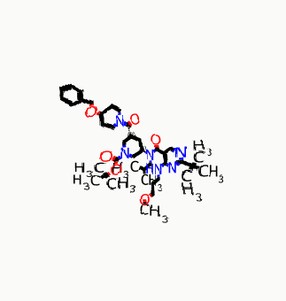 COCCCNc1nc(C(C)(C)C)ncc1C(=O)N(CC(C)C)[C@H]1C[C@@H](C(=O)N2CCC(OCc3ccccc3)CC2)CN(C(=O)OC(C)(C)C)C1